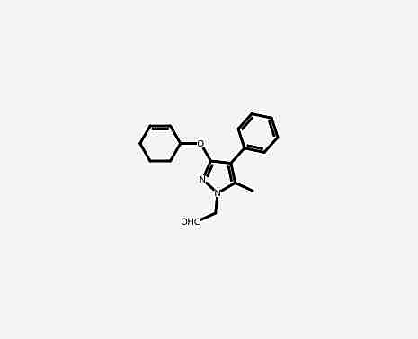 Cc1c(-c2ccccc2)c(OC2C=CCCC2)nn1CC=O